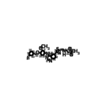 COc1cc(Nc2ncnc3ccc(-c4csc(CNCCS(C)(=O)=O)n4)cc23)ccc1OCc1cccc(F)c1